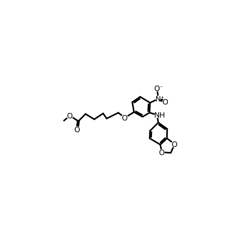 COC(=O)CCCCCOc1ccc([N+](=O)[O-])c(Nc2ccc3c(c2)OCO3)c1